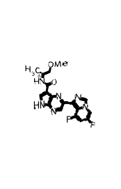 COC[C@H](C)NC(=O)c1c[nH]c2ncc(-c3ncn4cc(F)cc(F)c34)nc12